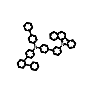 c1ccc(-c2ccc(N(c3ccc(-c4cccc(-n5c6ccccc6c6ccc7ccccc7c65)c4)cc3)c3ccc(-c4ccccc4-c4ccccc4)cc3)cc2)cc1